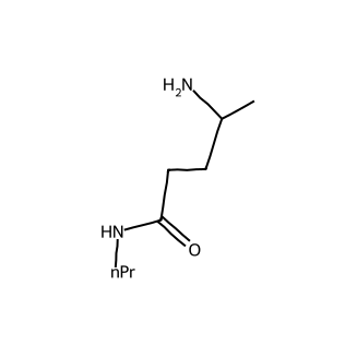 CCCNC(=O)CCC(C)N